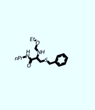 CCCNC(=O)C(CSCc1ccccc1)NCOCC